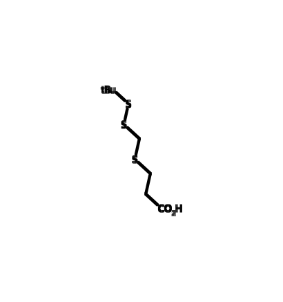 CC(C)(C)SSCSCCC(=O)O